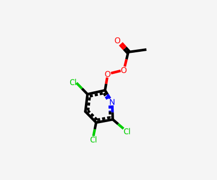 CC(=O)OOc1nc(Cl)c(Cl)cc1Cl